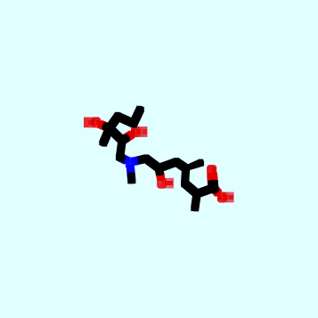 CCCC(C)(O)C(O)CN(C)CC(O)C[C@@H](C)CC(C)C(=O)O